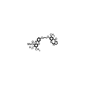 COc1cc(Oc2cc(OCCCOc3cc4c(cc3C)C(=O)N3CCC[C@H]3C=N4)ccc2[N+](=O)[O-])cc(C)c1C